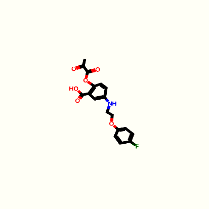 CC(=O)C(=O)Oc1ccc(NCCOc2ccc(F)cc2)cc1C(=O)O